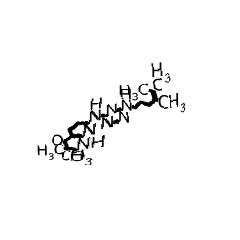 CC(C)=C(C)CCCNc1ncnc(Nc2ccc3c(n2)NC(=O)C(C)(C)C3=O)n1